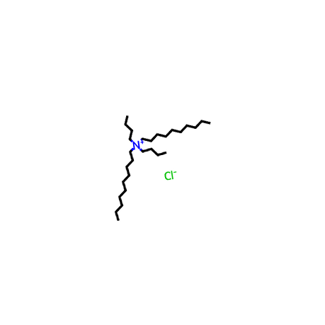 CCCCCCCCCC[N+](CCCC)(CCCC)CCCCCCCCCC.[Cl-]